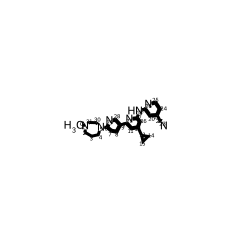 CN1CCCN(c2ccc(-c3cc(C4CC4)cc(Nc4cc(C#N)ccn4)n3)cn2)CC1